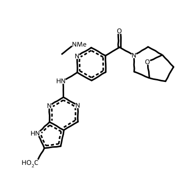 CNC.O=C(O)c1cc2cnc(Nc3ccc(C(=O)N4CC5CCC(C4)O5)cn3)nc2[nH]1